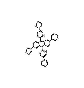 c1ccc(-c2ccc(-c3c4ccc(-c5ccccc5)cc4c(-c4ccc(-c5ccccc5)cn4)c4ccc(-c5ccccc5)cc34)nc2)cc1